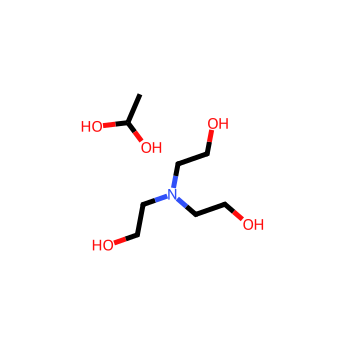 CC(O)O.OCCN(CCO)CCO